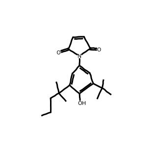 CCCC(C)(C)c1cc(N2C(=O)C=CC2=O)cc(C(C)(C)C)c1O